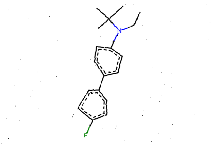 CCN(c1ccc(-c2ccc(F)cc2)cc1)C(C)(C)C